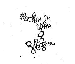 C=CCOC(=O)Nc1nn(CCCNC(=O)OC(C)(C)C)cc1-c1ccc(OCC(ON2C(=O)c3ccccc3C2=O)C(=O)OC(C)(C)C)cc1